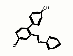 Oc1ccc(-c2ccc(Cl)cc2C=Nc2ccccc2)cc1